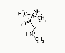 CNCC(=O)C(C)(C)N